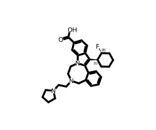 O=C(O)c1ccc2c([C@@H]3CCCC[C@H]3F)c3n(c2c1)CCN(CCN1CCCC1)Cc1ccccc1-3